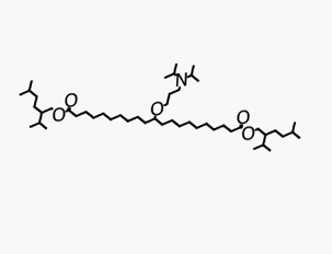 CC(C)CCC(COC(=O)CCCCCCCCCC(CCCCCCCCCC(=O)OCC(CCC(C)C)C(C)C)OCCCN(C(C)C)C(C)C)C(C)C